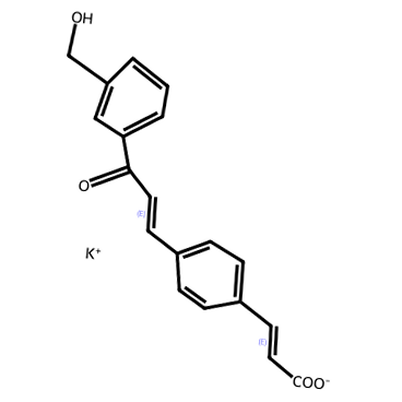 O=C([O-])/C=C/c1ccc(/C=C/C(=O)c2cccc(CO)c2)cc1.[K+]